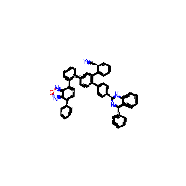 N#Cc1ccccc1-c1cc(-c2ccccc2-c2ccc(-c3ccccc3)c3nonc23)ccc1-c1ccc(-c2nc(-c3ccccc3)c3ccccc3n2)cc1